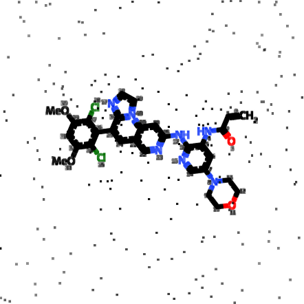 C=CC(=O)Nc1cc(N2CCOCC2)cnc1Nc1cc2c(cn1)cc(-c1c(Cl)c(OC)cc(OC)c1Cl)c1nccn12